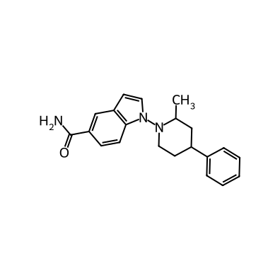 CC1CC(c2ccccc2)CCN1n1ccc2cc(C(N)=O)ccc21